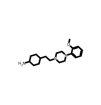 COc1ccccc1N1CCN(CCC2CCC(N)CC2)CC1